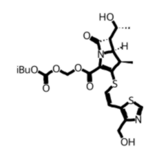 CC(C)COC(=O)OCOC(=O)C1=C(S/C=C\c2scnc2CO)[C@H](C)[C@@H]2[C@@H]([C@@H](C)O)C(=O)N12